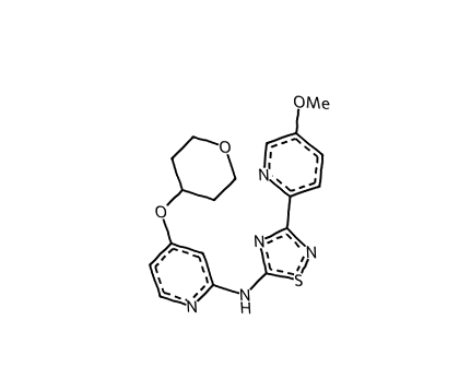 COc1ccc(-c2nsc(Nc3cc(OC4CCOCC4)ccn3)n2)nc1